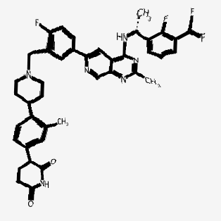 Cc1nc(N[C@H](C)c2cccc(C(F)F)c2F)c2cc(-c3ccc(F)c(CN4CCC(c5ccc(C6CCC(=O)NC6=O)cc5C)CC4)c3)ncc2n1